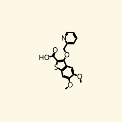 COc1cc2sc(C(=O)O)c(OCc3ccccn3)c2cc1OC